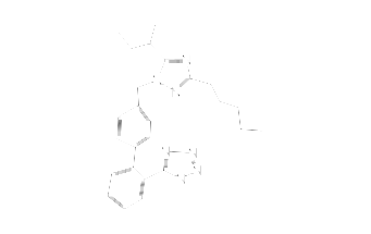 CCCCCc1nc(C(C)CC)n(Cc2ccc(-c3ccccc3-c3nnn[nH]3)cc2)n1